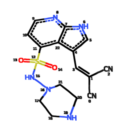 N#CC(C#N)=Cc1c[nH]c2nccc(S(=O)(=O)NN3CCNCC3)c12